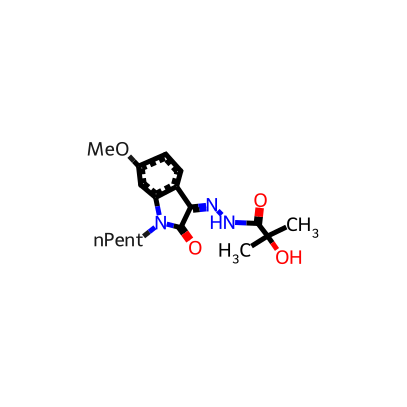 CCCCCN1C(=O)C(=NNC(=O)C(C)(C)O)c2ccc(OC)cc21